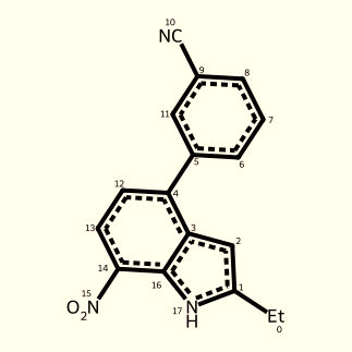 [CH2]Cc1cc2c(-c3cccc(C#N)c3)ccc([N+](=O)[O-])c2[nH]1